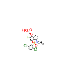 CN(C1CCCc2c1ccc(F)c2OCC(=O)O)S(=O)(=O)c1cc(Cl)ccc1Cl